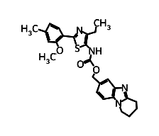 CCc1nc(-c2ccc(C)cc2OC)sc1NC(=O)OCc1ccc2c(c1)nc1n2CCCC1